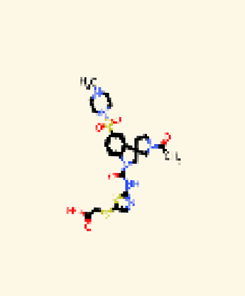 CC(=O)N1CCC2(C1)CN(C(=O)Nc1ncc(SCC(=O)O)s1)c1ccc(S(=O)(=O)N3CCN(C)CC3)cc12